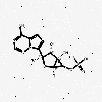 N#C[C@@]1(c2ccc3c(N)ncnn23)O[C@@H]2C(OP(=O)(O)O)[C@]2(O)[C@H]1O